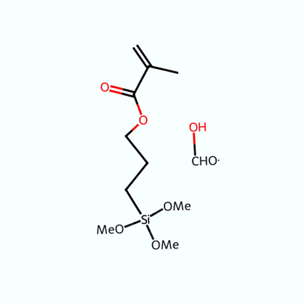 C=C(C)C(=O)OCCC[Si](OC)(OC)OC.O=[C]O